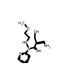 COCCNN(C(=N)/C(=C\N)CO)c1ccccn1